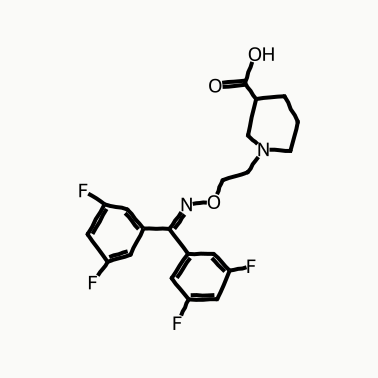 O=C(O)C1CCCN(CCON=C(c2cc(F)cc(F)c2)c2cc(F)cc(F)c2)C1